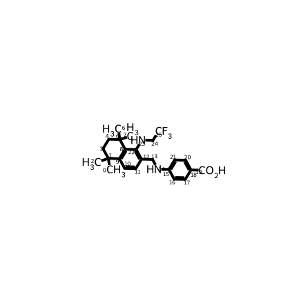 CC1(C)CCC(C)(C)c2c1ccc(CNc1ccc(C(=O)O)cc1)c2NCC(F)(F)F